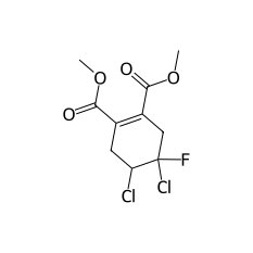 COC(=O)C1=C(C(=O)OC)CC(F)(Cl)C(Cl)C1